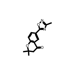 Cc1noc(-c2ccc3c(c2)C(=O)CC(C)(C)O3)n1